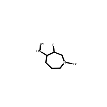 CC(C)NC1CCCN(C(C)C)CC1F